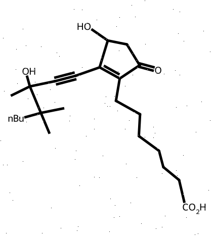 CCCCC(C)(C)C(C)(O)C#CC1=C(CCCCCCC(=O)O)C(=O)CC1O